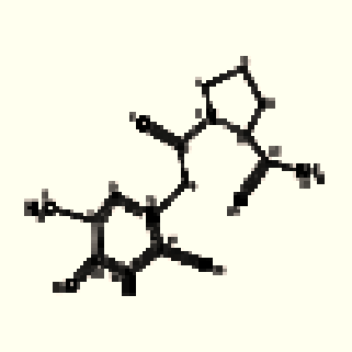 Cc1cn(CC(=O)N2CCCC2C(N)=O)c(=O)[nH]c1=O